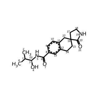 CC(C)[C@H](O)NC(=O)c1ccc2c(c1)CCC1(CCNC1=O)C2